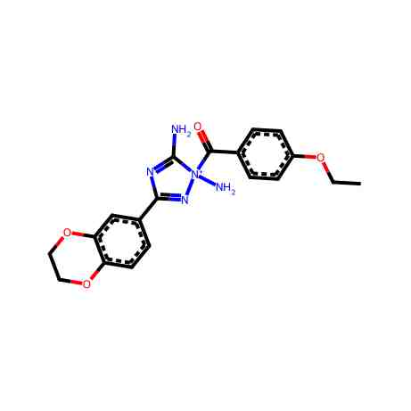 CCOc1ccc(C(=O)[N+]2(N)N=C(c3ccc4c(c3)OCCO4)N=C2N)cc1